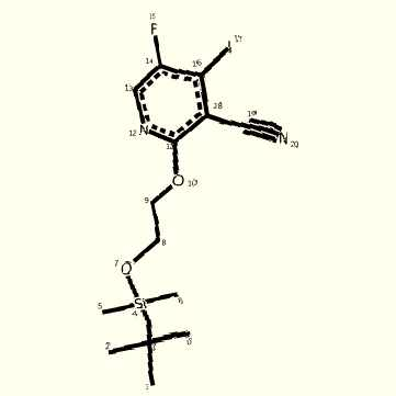 CC(C)(C)[Si](C)(C)OCCOc1ncc(F)c(I)c1C#N